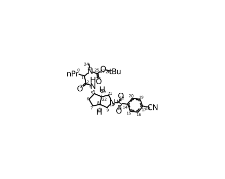 CCCC(C(=O)N[C@H]1CC[C@@H]2CN(S(=O)(=O)c3ccc(C#N)cc3)C[C@@H]21)N(C)C(=O)OC(C)(C)C